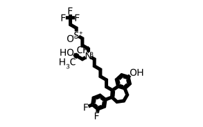 CC(C)(O)CN(CCCCCCC1=C(c2ccc(F)c(F)c2)CCCc2cc(O)ccc21)CCC[S+]([O-])CCC(F)(F)F